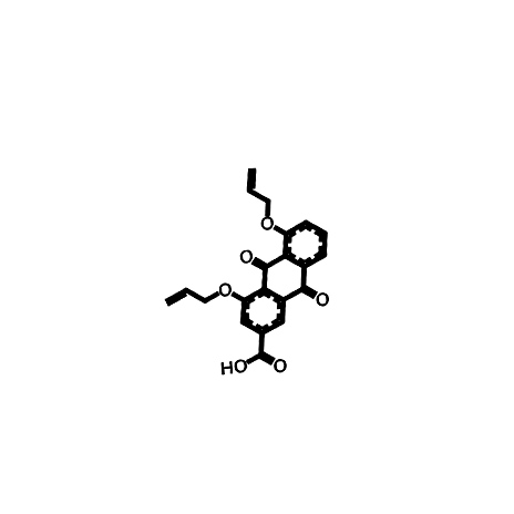 C=CCOc1cccc2c1C(=O)c1c(OCC=C)cc(C(=O)O)cc1C2=O